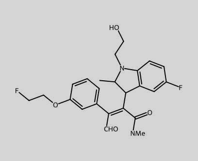 CNC(=O)/C(=C(\C=O)c1cccc(OCCF)c1)C1c2cc(F)ccc2N(CCO)C1C